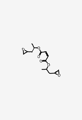 CC(CC1CO1)OC(=O)/C=C\C(=O)OC(C)CC1CO1